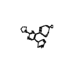 Clc1ccc(-c2nc(N3CCCC3)ncc2C2C=CN=C2)cc1